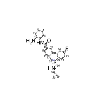 Nc1ccccc1NC(=O)c1ccc(/C=C(/CNC2CC2)c2ccc(F)cc2)cc1